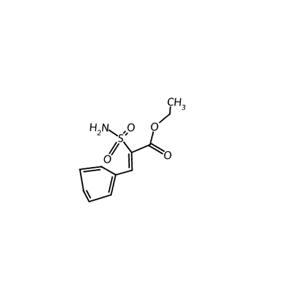 CCOC(=O)/C(=C/c1ccccc1)S(N)(=O)=O